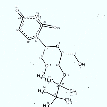 COC[C@@H](O[C@H](CO)CO[Si](C)(C)C(C)(C)C)n1ccc(=O)[nH]c1=O